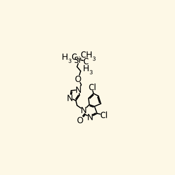 C[Si](C)(C)CCOCn1cnc(Cn2c(=O)nc(Cl)c3ccc(Cl)cc32)c1